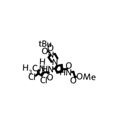 COC(=O)CNC(=O)c1ccc(NC(=O)c2[nH]c(C)c(Cl)c2Cl)c(N2CCN(C(=O)OC(C)(C)C)CC2)c1